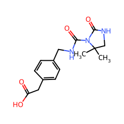 CC1(C)CNC(=O)N1C(=O)NCc1ccc(CC(=O)O)cc1